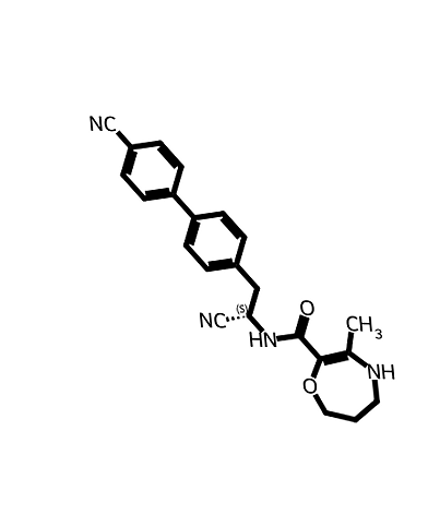 CC1=C(C(=O)N[C@H](C#N)Cc2ccc(-c3ccc(C#N)cc3)cc2)OCCCN1